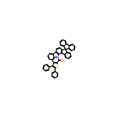 O=c1c2sc(-c3ccccc3)c(-c3ccccc3)c2c2cccc3c4ccc5c(c4n1c32)-c1ccccc1C51c2ccccc2-c2ccccc21